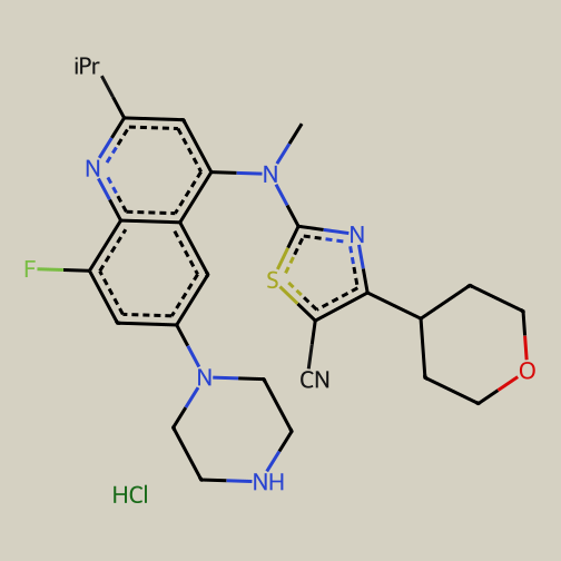 CC(C)c1cc(N(C)c2nc(C3CCOCC3)c(C#N)s2)c2cc(N3CCNCC3)cc(F)c2n1.Cl